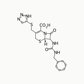 O=C(NCc1ccccc1)NC1C(=O)N2C(C(=O)O)=C(CSc3cnn[nH]3)CS[C@@H]12